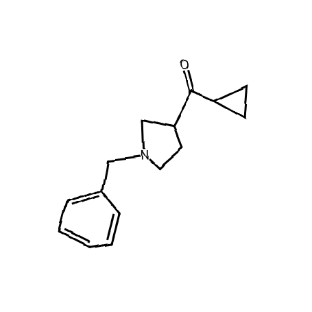 O=C(C1CC1)C1CCN(Cc2ccccc2)C1